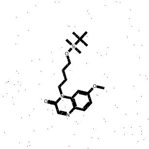 COc1ccc2ncc(=O)n(CCCCO[Si](C)(C)C(C)(C)C)c2c1